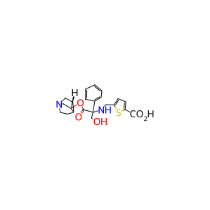 O=C(O)c1ccc(CNC(CO)(C(=O)O[C@H]2CN3CCC2CC3)c2ccccc2)s1